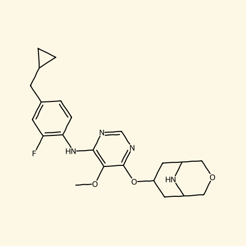 COc1c(Nc2ccc(CC3CC3)cc2F)ncnc1OC1CC2COCC(C1)N2